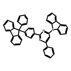 c1ccc(-c2cc(-n3c4ccccc4c4ccccc43)nc(-c3ccc(C4(c5ccccc5)c5ccccc5-c5ccccc54)cc3)n2)cc1